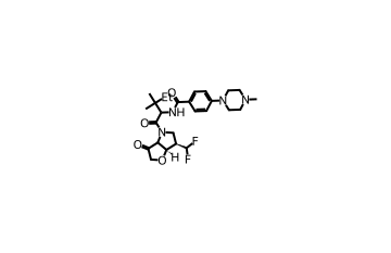 CCC(C)(C)C(NC(=O)c1ccc(N2CCN(C)CC2)cc1)C(=O)N1C[C@@H](C(F)F)[C@H]2OCC(=O)C21